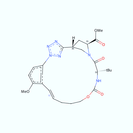 COC(=O)[C@@H]1C[C@@H]2CN1C(=O)[C@H](C(C)(C)C)NC(=O)OCCC/C=C/c1cc(ccc1OC)-n1nnc2n1